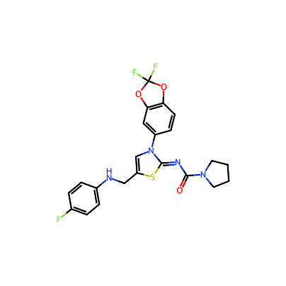 O=C(N=c1sc(CNc2ccc(F)cc2)cn1-c1ccc2c(c1)OC(F)(F)O2)N1CCCC1